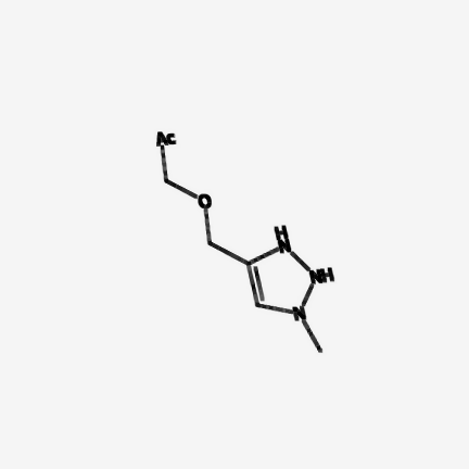 CC(=O)COCC1=CN(C)NN1